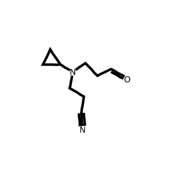 N#CCCN(CCC=O)C1CC1